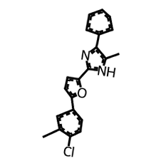 Cc1cc(-c2ccc(-c3nc(-c4ccccc4)c(C)[nH]3)o2)ccc1Cl